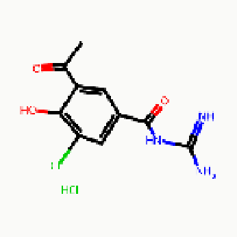 CC(=O)c1cc(C(=O)NC(=N)N)cc(Cl)c1O.Cl